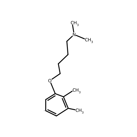 Cc1c[c]cc(OCCCCN(C)C)c1C